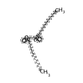 CCCCCCCCCCCCCCCCCCCN1/C(=C\C=C\c2oc3ccccc3[n+]2CCCCCCCCCCCCCCCCCC)Oc2ccccc21